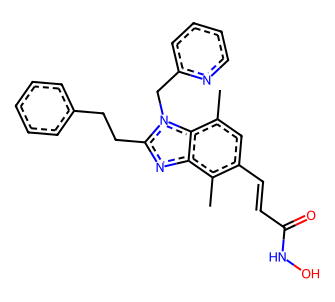 Cc1c(C=CC(=O)NO)cc(C)c2c1nc(CCc1ccccc1)n2Cc1ccccn1